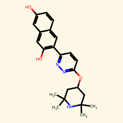 CC1(C)CC(Oc2ccc(-c3cc4ccc(O)cc4cc3O)nn2)CC(C)(C)N1